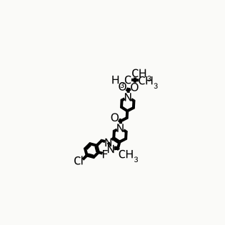 Cc1nn(Cc2ccc(Cl)cc2F)c2c1CCN(C(=O)CC1CCN(C(=O)OC(C)(C)C)CC1)C2